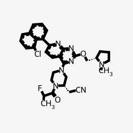 CC(F)C(=O)N1CCN(c2nc(OC[C@@H]3CCCN3C)nc3nc(-c4cccc5cccc(Cl)c45)ccc23)C[C@@H]1CC#N